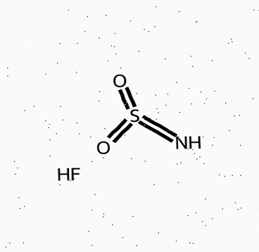 F.N=S(=O)=O